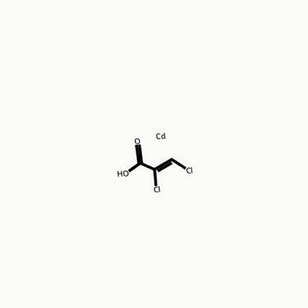 O=C(O)C(Cl)=CCl.[Cd]